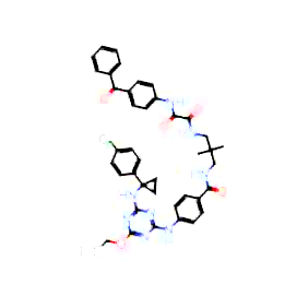 CC(C)(CNC(=O)C(=O)Nc1ccc(C(=O)c2ccccc2)cc1)CNC(=O)c1ccc(Nc2nc(NC3(c4ccc(Cl)cc4)CC3)nc(OCC(F)(F)F)n2)cc1